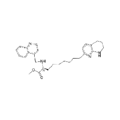 COC(=O)[C@H](CCCCCCCc1ccc2c(n1)NCCC2)NCc1ccnc2ccccc12